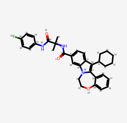 CC(C)(NC(=O)c1ccc2c(C3CCCCC3)c3n(c2c1)CCOc1ccccc1-3)C(=O)Nc1ccc(F)cc1